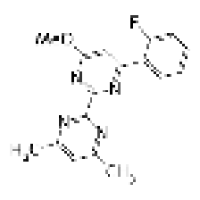 COc1cc(-c2ccccc2F)nc(-c2nc(C)cc(C)n2)n1